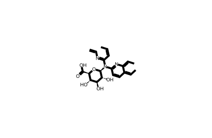 C=C/N=C(\C=C/C)N(c1ccc(=C/C)/c(=C\C)n1)[C@@H]1O[C@H](C(=O)O)[C@@H](O)[C@H](O)[C@H]1O